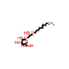 CCCCCCCCCOCC(O)CO[C@@H]1O[C@H](CO)[C@H](O)[C@H](O)[C@H]1O